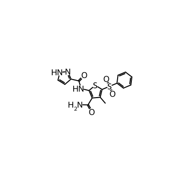 Cc1c(S(=O)(=O)c2ccccc2)sc(NC(=O)c2cc[nH]n2)c1C(N)=O